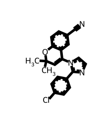 CC1(C)C=C(n2ccnc2-c2ccc(Cl)cc2)c2cc(C#N)ccc2O1